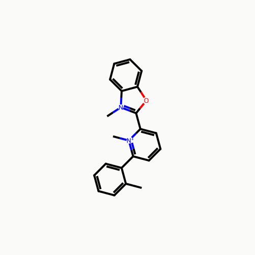 Cc1ccccc1-c1cccc(-c2oc3ccccc3[n+]2C)[n+]1C